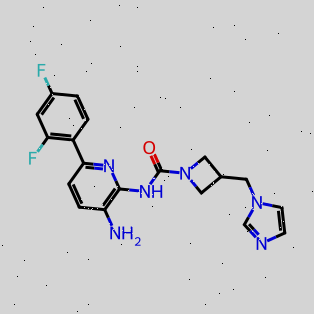 Nc1ccc(-c2ccc(F)cc2F)nc1NC(=O)N1CC(Cn2ccnc2)C1